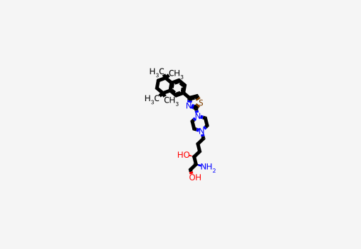 CC1(C)CCC(C)(C)c2cc(-c3csc(N4CCN(CCC[C@@H](O)[C@@H](N)CO)CC4)n3)ccc21